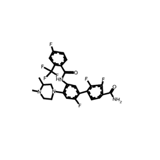 CC1CN(c2cc(F)c(-c3ccc(C(N)=O)c(F)c3F)cc2NC(=O)c2ccc(F)cc2C(F)(F)F)CCN1C